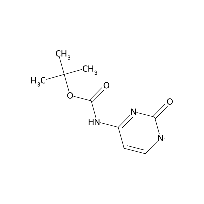 CC(C)(C)OC(=O)NC1=NC(=O)[N]C=C1